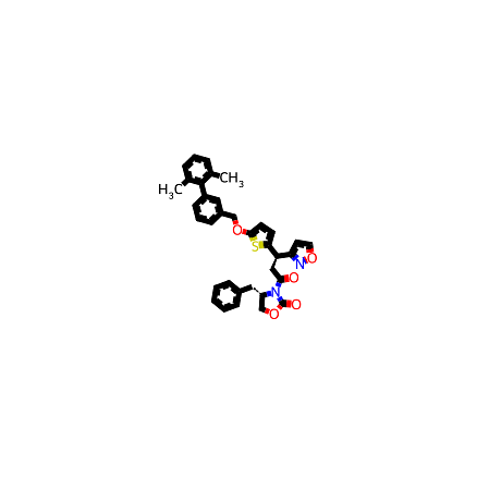 Cc1cccc(C)c1-c1cccc(COc2ccc([C@H](CC(=O)N3C(=O)OC[C@@H]3Cc3ccccc3)c3ccon3)s2)c1